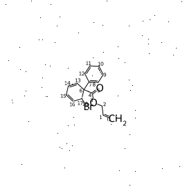 C=CCOC(=O)C1(c2ccccc2)C=CC=CC1Br